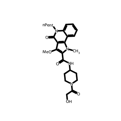 CCCCCn1c(=O)c2c(OC)c(C(=O)NC3CCN(C(=O)CO)CC3)n(C)c2c2ccccc21